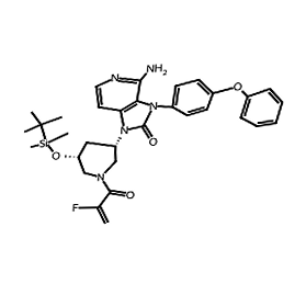 C=C(F)C(=O)N1C[C@H](O[Si](C)(C)C(C)(C)C)C[C@H](n2c(=O)n(-c3ccc(Oc4ccccc4)cc3)c3c(N)nccc32)C1